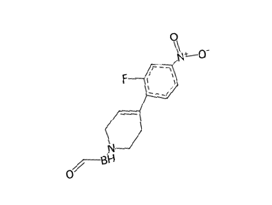 O=CBN1CC=C(c2ccc([N+](=O)[O-])cc2F)CC1